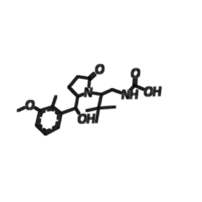 COc1cccc(C(O)C2CCC(=O)N2C(CNC(=O)O)C(C)(C)C)c1C